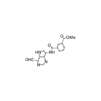 COC(=O)c1cccc(C(=O)Nc2c[nH]c3c(C=O)ncnc23)c1